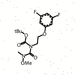 CON(C)C(=O)N(CCOc1cc(F)cc(F)c1)C(=O)OC(C)(C)C